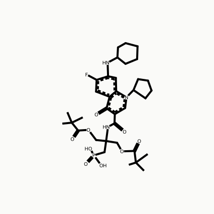 CC(C)(C)C(=O)OCC(COC(=O)C(C)(C)C)(CP(=O)(O)O)NC(=O)c1cn(C2CCCC2)c2cc(NC3CCCCC3)c(F)cc2c1=O